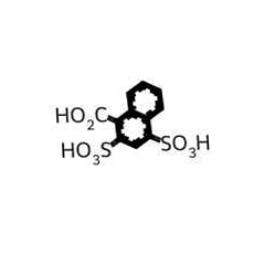 O=C(O)c1c(S(=O)(=O)O)cc(S(=O)(=O)O)c2ccccc12